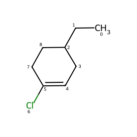 CCC1CC=C(Cl)CC1